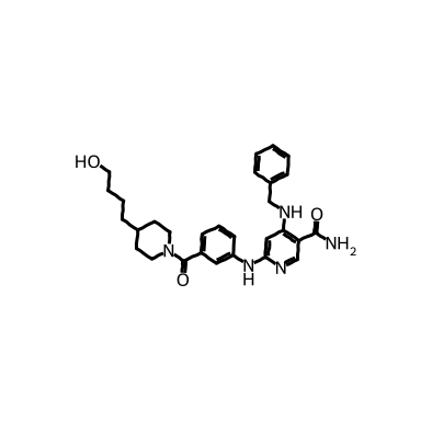 NC(=O)c1cnc(Nc2cccc(C(=O)N3CCC(CCCCO)CC3)c2)cc1NCc1ccccc1